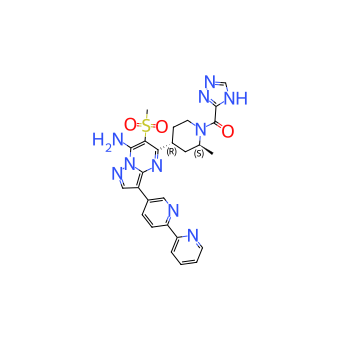 C[C@H]1C[C@H](c2nc3c(-c4ccc(-c5ccccn5)nc4)cnn3c(N)c2S(C)(=O)=O)CCN1C(=O)c1nnc[nH]1